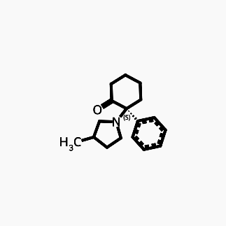 CC1CCN([C@]2(c3ccccc3)CCCCC2=O)C1